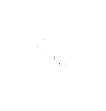 Nc1ccccc1Nc1cc(Cl)ncn1